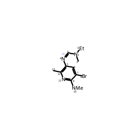 CCN(C)/C=N\c1cc(Br)c(NC)nc1C